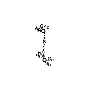 CC(=O)On1c(=O)[nH]c2cc(CCCCOCCCCCCNC[C@@H](O)c3ccc(O)c(CO)c3)ccc21